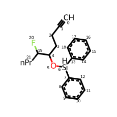 C#CCCC(O[SiH](c1ccccc1)c1ccccc1)C(F)CCC